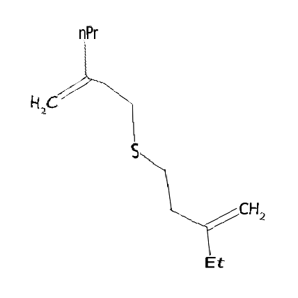 C=C(CC)CCSCC(=C)CCC